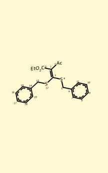 CCOC(=O)C(C(C)=O)=C(SCc1ccccc1)SCc1ccccc1